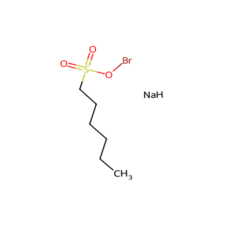 CCCCCCS(=O)(=O)OBr.[NaH]